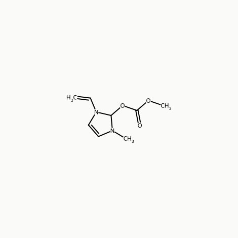 C=CN1C=CN(C)C1OC(=O)OC